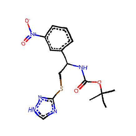 CC(C)(C)OC(=O)NC(CSc1nc[nH]n1)c1cccc([N+](=O)[O-])c1